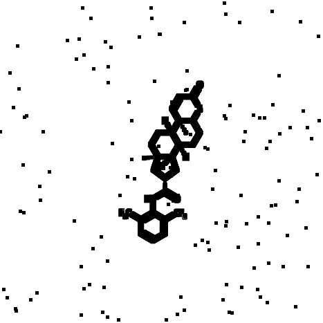 C[C@]12CC[C@H]3[C@@H](CCC4SC(=O)C=C[C@@]43C)[C@@H]1C[C@H](C(=O)Nc1c(C(F)(F)F)cccc1C(F)(F)F)C2